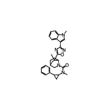 CN(C(=O)N1CC2CCC1C(C)(c1nc(-c3cn(C)c4ccccc34)no1)C2)C1CC1c1ccccc1